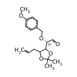 C=CCC1OC(C)(C)OC1[C@@H](C=O)OCc1ccc(OC)cc1